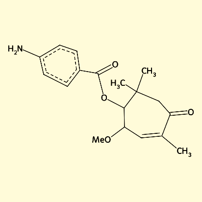 COC1C=C(C)C(=O)CC(C)(C)C1OC(=O)c1ccc(N)cc1